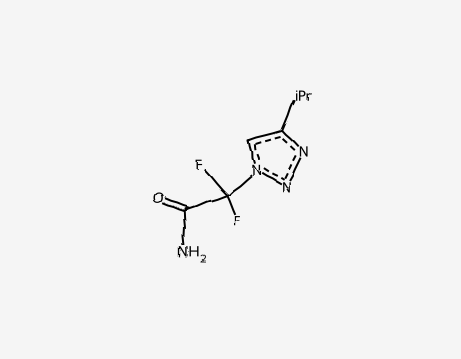 CC(C)c1cn(C(F)(F)C(N)=O)nn1